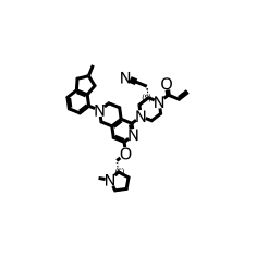 C=CC(=O)N1CCN(c2nc(OC[C@@H]3CCCN3C)cc3c2CCN(c2cccc4c2CC(C)C4)C3)C[C@@H]1CC#N